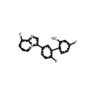 N#Cc1cc(F)ccc1-c1cc(-c2cnc3c(F)cccn23)ccc1F